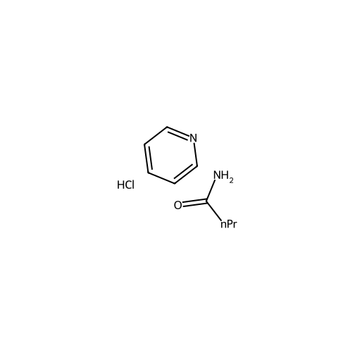 CCCC(N)=O.Cl.c1ccncc1